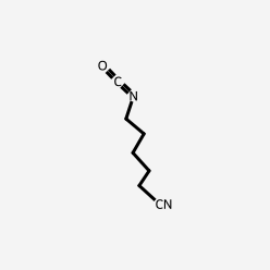 N#CCCCCCN=C=O